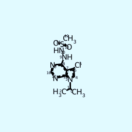 CC(C)n1cc(Cl)c2c(NNS(C)(=O)=O)ncnc21